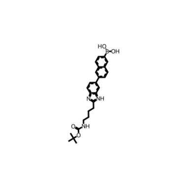 CC(C)(C)OC(=O)NCCCCc1nc2ccc(-c3ccc4cc(B(O)O)ccc4c3)cc2[nH]1